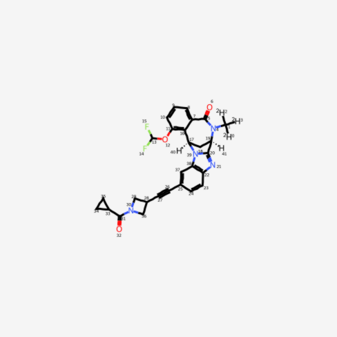 [2H]C([2H])([2H])N1C(=O)c2cccc(OC(F)F)c2[C@H]2C[C@@H]1c1nc3ccc(C#CC4CN(C(=O)C5CC5)C4)cc3n12